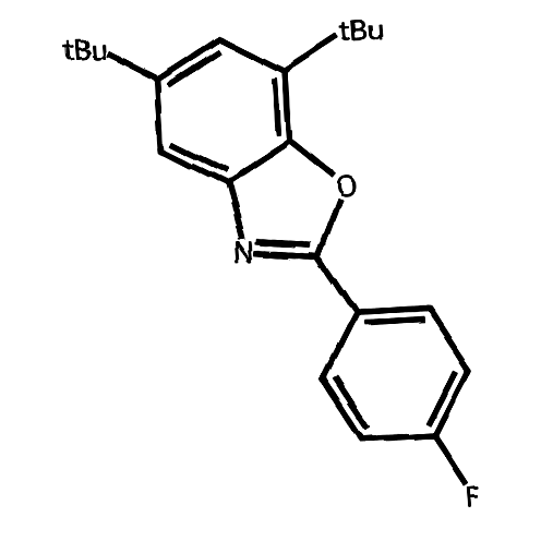 CC(C)(C)c1cc(C(C)(C)C)c2oc(-c3ccc(F)cc3)nc2c1